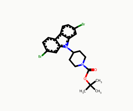 CC(C)(C)OC(=O)N1CCC(n2c3cc(Br)ccc3c3ccc(Br)cc32)CC1